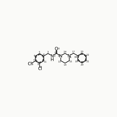 O=C(NCc1ccc(Cl)c(Cl)c1)N1CCCN(Cc2ccccc2)C1